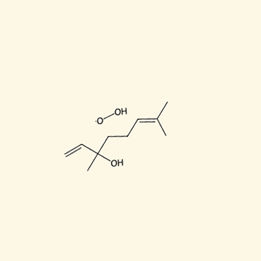 C=CC(C)(O)CCC=C(C)C.[O]O